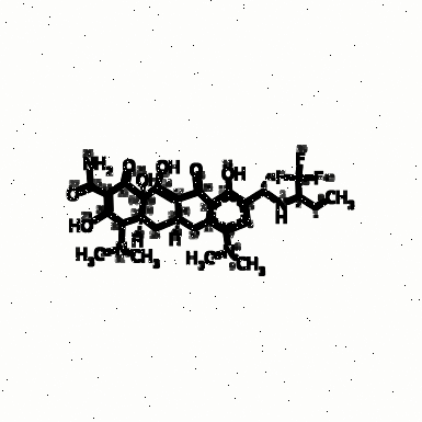 CCC(NCc1cc(N(C)C)c2c(c1O)C(=O)C1=C(O)[C@]3(O)C(=O)C(C(N)=O)=C(O)C(N(C)C)[C@@H]3C[C@@H]1C2)C(F)(F)F